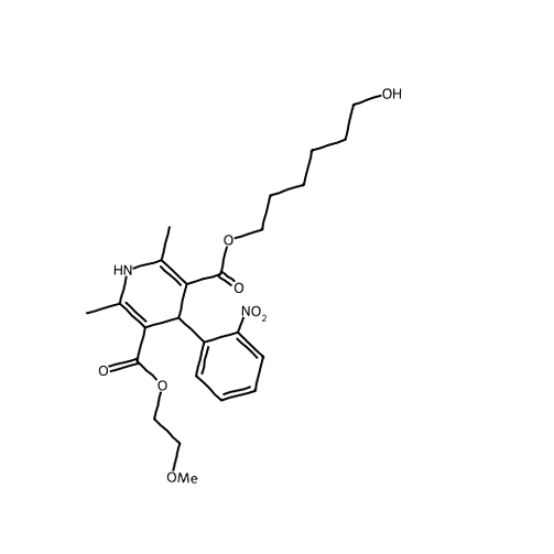 COCCOC(=O)C1=C(C)NC(C)=C(C(=O)OCCCCCCO)C1c1ccccc1[N+](=O)[O-]